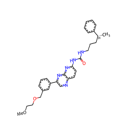 COCCOCc1cccc(-c2cnc3ccc(NC(=O)NCCC[C@@H](C)c4ccccc4)nc3n2)c1